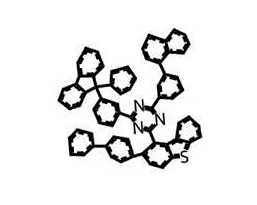 c1ccc(-c2ccc(-c3ccc4sc5ccccc5c4c3-c3nc(-c4cccc(-c5cccc6ccccc56)c4)nc(-c4cccc(C5(c6ccccc6)c6ccccc6-c6ccccc65)c4)n3)cc2)cc1